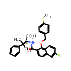 CC(C)(c1ccccc1)[C@H](NC(=O)c1ccc2cc(F)ccc2c1OCc1ccc(SC(F)(F)F)cc1)C(=O)O